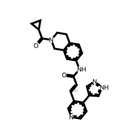 O=C(/C=C/c1cnccc1-c1cn[nH]c1)Nc1ccc2c(c1)CN(C(=O)C1CC1)CC2